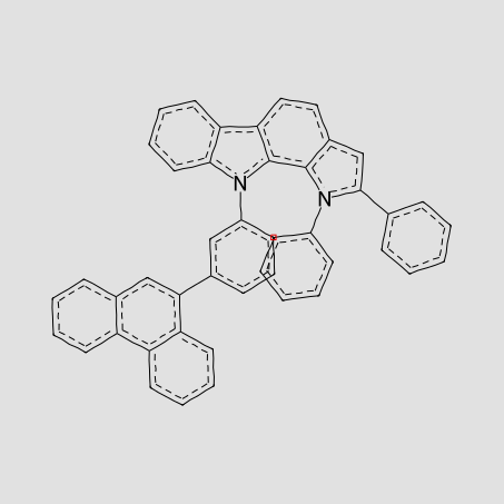 c1ccc(-c2cc3ccc4c5ccccc5n(-c5cccc(-c6cc7ccccc7c7ccccc67)c5)c4c3n2-c2ccccc2)cc1